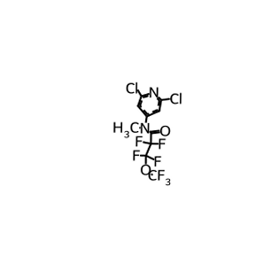 CN(C(=O)C(F)(F)C(F)(F)OC(F)(F)F)c1cc(Cl)nc(Cl)c1